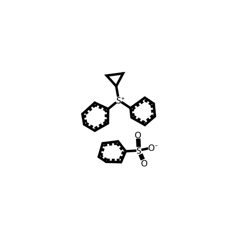 O=S(=O)([O-])c1ccccc1.c1ccc([S+](c2ccccc2)C2CC2)cc1